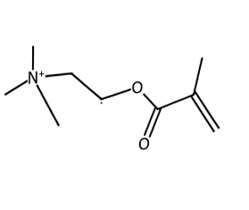 C=C(C)C(=O)O[CH]C[N+](C)(C)C